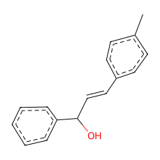 Cc1ccc(/C=C/C(O)c2ccccc2)cc1